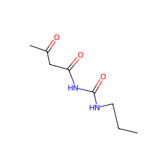 CCCNC(=O)NC(=O)CC(C)=O